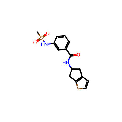 CS(=O)(=O)Nc1cccc(C(=O)NC2Cc3ccsc3C2)c1